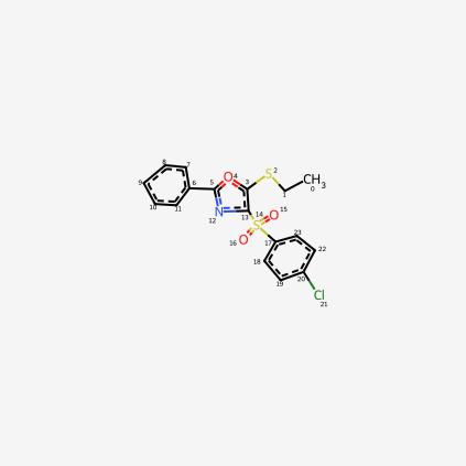 CCSc1oc(-c2ccccc2)nc1S(=O)(=O)c1ccc(Cl)cc1